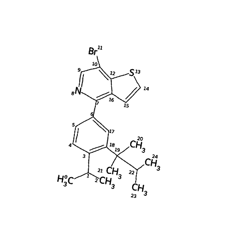 CC(C)c1ccc(-c2ncc(Br)c3sccc23)cc1C(C)(C)C(C)C